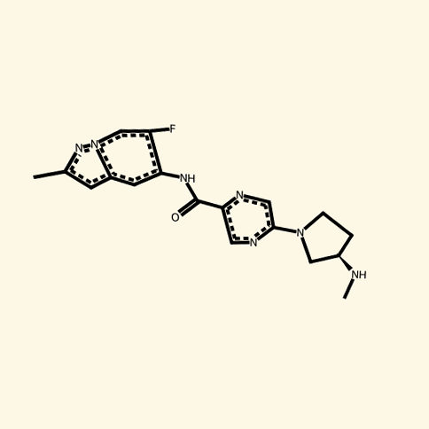 CN[C@@H]1CCN(c2cnc(C(=O)Nc3cc4cc(C)nn4cc3F)cn2)C1